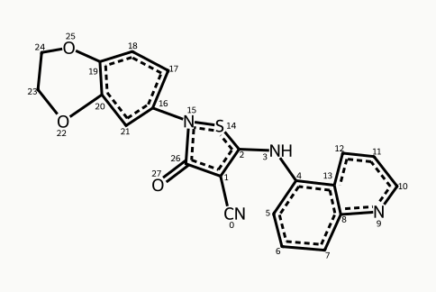 N#Cc1c(Nc2cccc3ncccc23)sn(-c2ccc3c(c2)OCCO3)c1=O